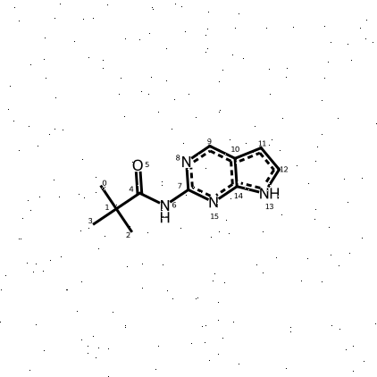 CC(C)(C)C(=O)Nc1ncc2cc[nH]c2n1